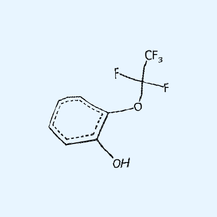 Oc1ccccc1OC(F)(F)C(F)(F)F